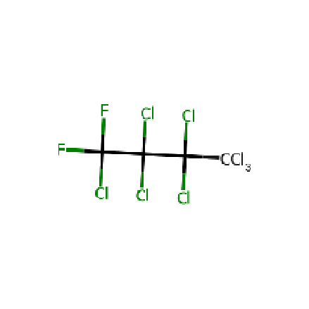 FC(F)(Cl)C(Cl)(Cl)C(Cl)(Cl)C(Cl)(Cl)Cl